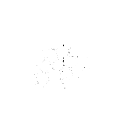 O=C(O)c1c(C(=O)O)c(C(=O)OC(F)(F)F)c(C(F)(F)F)c(-c2ccccc2)c1C(=O)O